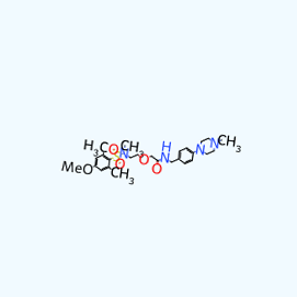 COc1cc(C)c(S(=O)(=O)N(C)CCOCC(=O)NCc2ccc(N3CCN(C)CC3)cc2)c(C)c1